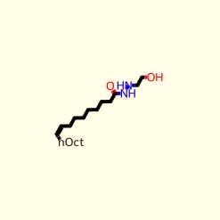 CCCCCCCC/C=C\CCCCCCCC(=O)NNCCO